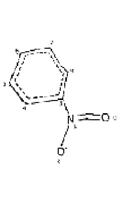 O=[N+]([O-])c1c[c][c]cc1